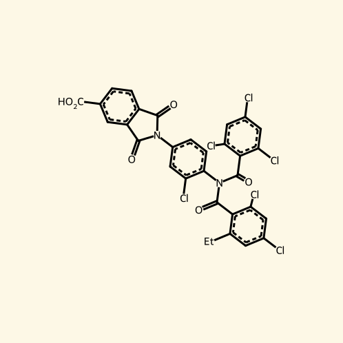 CCc1cc(Cl)cc(Cl)c1C(=O)N(C(=O)c1c(Cl)cc(Cl)cc1Cl)c1ccc(N2C(=O)c3ccc(C(=O)O)cc3C2=O)cc1Cl